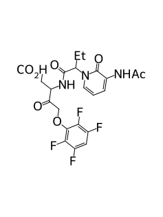 CCC(C(=O)NC(CC(=O)O)C(=O)COc1c(F)c(F)cc(F)c1F)n1cccc(NC(C)=O)c1=O